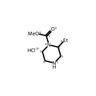 CCC1CNCCN1C(=O)OC.Cl